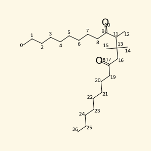 CCCCCCCCCC(=O)C(C)C(C)(C)CC(=O)CCCCCCCC